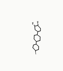 FC1CCC(C2CCC(C3CCC(I)CC3)CC2)CC1F